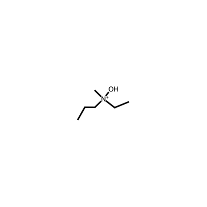 CCC[N+](C)(O)CC